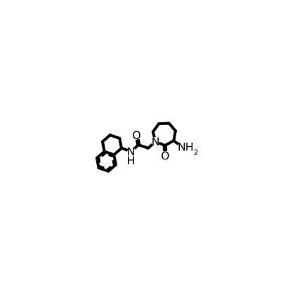 NC1CCCCN(CC(=O)NC2CCCc3ccccc32)C1=O